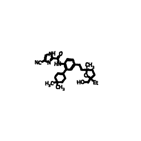 CC[C@]1(CO)CC[C@](C)(CCc2ccc(NC(=O)c3nc(C#N)c[nH]3)c(C3=CCC(C)(C)CC3)c2)O1